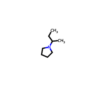 CCC(C)N1CCCC1